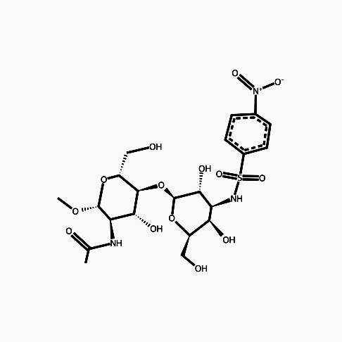 CO[C@@H]1O[C@H](CO)[C@@H](O[C@@H]2O[C@H](CO)[C@H](O)[C@H](NS(=O)(=O)c3ccc([N+](=O)[O-])cc3)[C@H]2O)[C@H](O)[C@H]1NC(C)=O